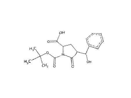 CC(C)(C)OC(=O)N1C(=O)C(C(O)c2ccccc2)CC1C(=O)O